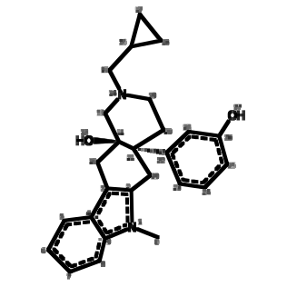 Cn1c2c(c3ccccc31)C[C@]1(O)CN(CC3CC3)CC[C@@]1(c1cccc(O)c1)C2